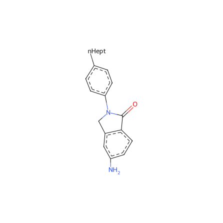 CCCCCCCc1ccc(N2Cc3cc(N)ccc3C2=O)cc1